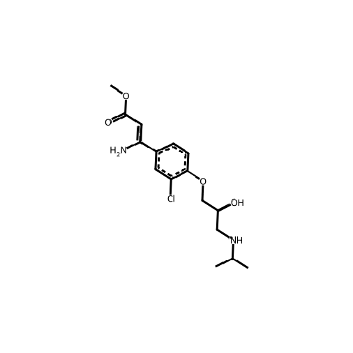 COC(=O)C=C(N)c1ccc(OCC(O)CNC(C)C)c(Cl)c1